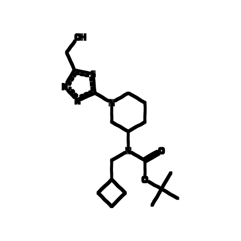 CC(C)(C)OC(=O)N(CC1CCC1)C1CCCN(c2nnc(CO)s2)C1